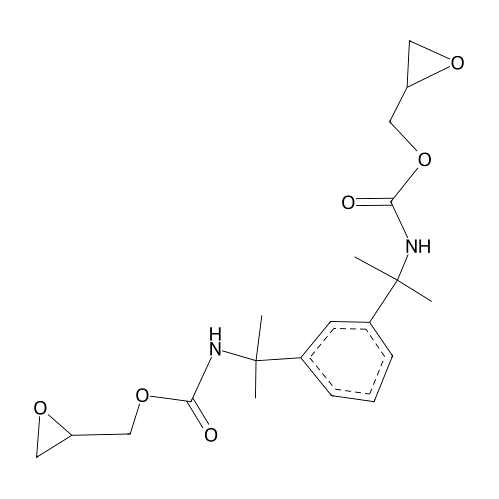 CC(C)(NC(=O)OCC1CO1)c1cccc(C(C)(C)NC(=O)OCC2CO2)c1